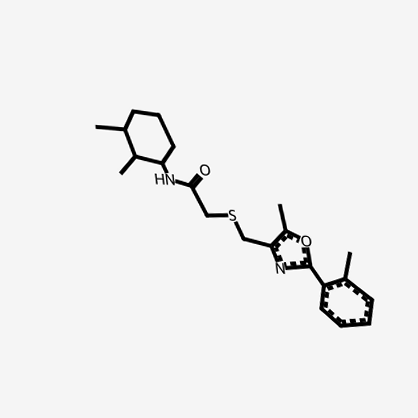 Cc1ccccc1-c1nc(CSCC(=O)NC2CCCC(C)C2C)c(C)o1